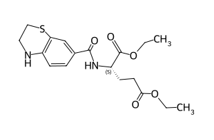 CCOC(=O)CC[C@H](NC(=O)c1ccc2c(c1)SCCN2)C(=O)OCC